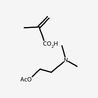 C=C(C)C(=O)O.CC(=O)OCCN(C)C